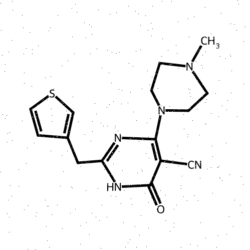 CN1CCN(c2nc(Cc3ccsc3)[nH]c(=O)c2C#N)CC1